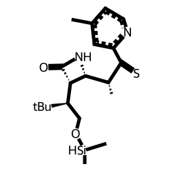 Cc1ccnc(C(=S)[C@H](C)[C@H]2NC(=O)[C@H]2[C@@H](CO[SiH](C)C)C(C)(C)C)c1